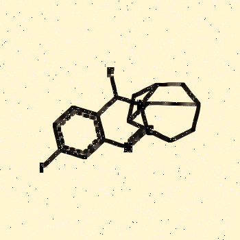 FC1c2ccc(I)cc2N=C2C3CC4CC(C3)CC(C4)N21